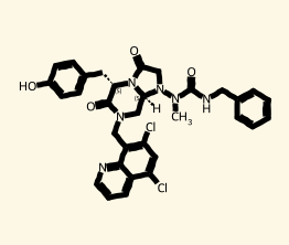 CN(C(=O)NCc1ccccc1)N1CC(=O)N2[C@@H](Cc3ccc(O)cc3)C(=O)N(Cc3c(Cl)cc(Cl)c4cccnc34)C[C@@H]21